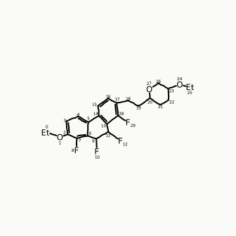 CCOc1ccc2c(c1F)C(F)C(F)c1c-2ccc(CCC2CCC(OCC)CO2)c1F